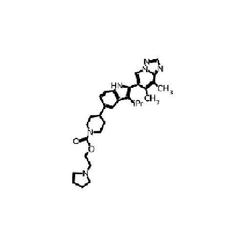 Cc1c(-c2[nH]c3ccc(C4CCN(C(=O)OCCN5CCCC5)CC4)cc3c2C(C)C)cn2ncnc2c1C